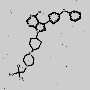 CC(C)(O)CN1CCN(C2CCC(n3cc(-c4ccc(Oc5ccccc5)cc4)c4c(N)ncnc43)CC2)CC1